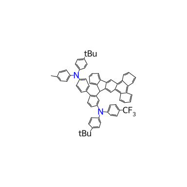 Cc1ccc(N(c2ccc(-c3ccc(N(c4ccc(C(C)(C)C)cc4)c4ccc(C(F)(F)F)cc4)cc3C3c4ccccc4-c4cc5c6ccccc6c6ccccc6c5cc43)cc2)c2ccc(C(C)(C)C)cc2)cc1